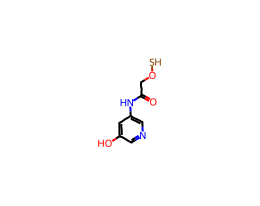 O=C(COS)Nc1cncc(O)c1